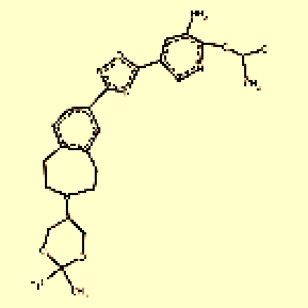 CC(C)Oc1ncc(-c2nc(-c3ccc4c(c3)CCN(C3COC(C)(C)OC3)CC4)no2)cc1N